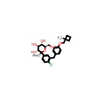 COC1(c2ccc(Cl)c(Cc3ccc(OCC4(C(F)(F)F)CCC4)cc3)c2)O[C@H](CO)[C@@H](O)[C@H](O)[C@H]1O